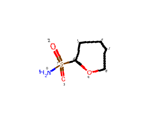 NS(=O)(=O)C1CCCCO1